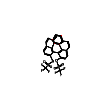 O=S(=O)(Oc1ccc2ccc3ccccc3c2c1-c1c(OS(=O)(=O)C(F)(F)F)ccc2ccc3ccccc3c12)C(F)(F)F